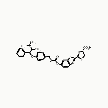 CC(C(Oc1ccc(COC(=O)Oc2ccc3nc(C4=N[C@@H](C(=O)O)CS4)sc3c2)cc1)c1ccccc1)N(C)C